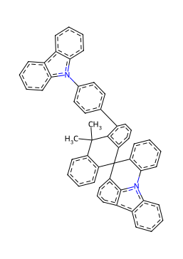 CC1(C)c2ccccc2C2(c3ccccc3-n3c4ccccc4c4cccc2c43)c2cccc(-c3ccc(-n4c5ccccc5c5ccccc54)cc3)c21